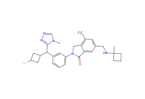 Cn1cnnc1C(c1cccc(N2Cc3c(cc(CNC4(C)CCC4)cc3C(F)(F)F)C2=O)c1)C1CC(F)C1